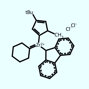 CC1C=C(C(C)(C)C)C=[C]1[Zr+2](=[C]1CCCCC1)[CH]1c2ccccc2-c2ccccc21.[Cl-].[Cl-]